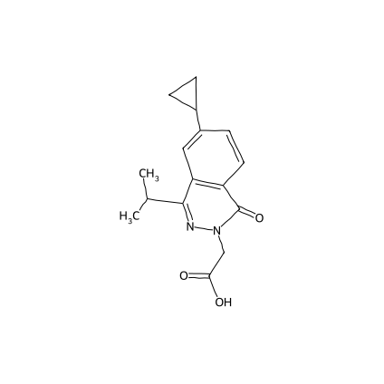 CC(C)c1nn(CC(=O)O)c(=O)c2ccc(C3CC3)cc12